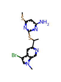 CSc1cc(N)nc(SC(C)c2cc3c(Br)cn(C)c3cn2)n1